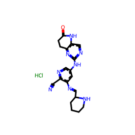 Cl.N#Cc1ncc(Nc2ncc3c(n2)CCC(=O)N3)cc1N=CC1CCCCN1